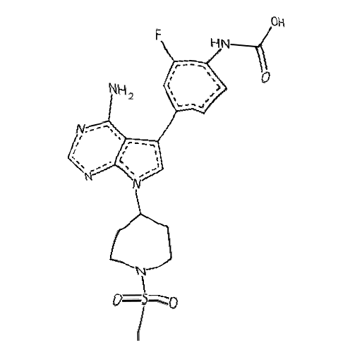 CS(=O)(=O)N1CCC(n2cc(-c3ccc(NC(=O)O)c(F)c3)c3c(N)ncnc32)CC1